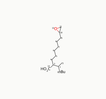 CCCCC(C)C(CCCCCCC1CO1)C(=O)O